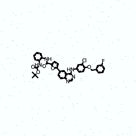 CC(C)(C)OC(=O)Nc1ccccc1NC(=O)c1ccc(-c2ccc3ncnc(Nc4ccc(OCc5cccc(F)c5)c(Cl)c4)c3c2)o1